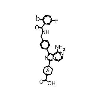 COc1ccc(F)cc1C(=O)NCc1ccc(-c2nc(C34CCC(C(=O)O)(CC3)CC4)n3ccnc(N)c23)cc1